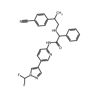 CC(CNC(C(=O)Nc1ccc(-c2cnn(C(F)F)c2)cn1)c1ccccc1)c1ccc(C#N)cc1